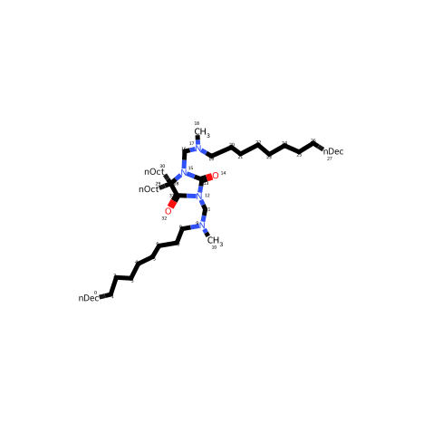 CCCCCCCCCCCCCCCCCCN(C)CN1C(=O)N(CN(C)CCCCCCCCCCCCCCCCCC)C(CCCCCCCC)(CCCCCCCC)C1=O